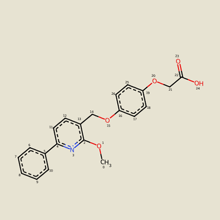 COc1nc(-c2ccccc2)ccc1COc1ccc(OCC(=O)O)cc1